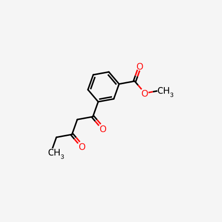 CCC(=O)CC(=O)c1cccc(C(=O)OC)c1